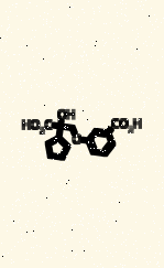 O=C(O)c1cccc(OCC(O)(C(=O)O)C2CCCC2)c1